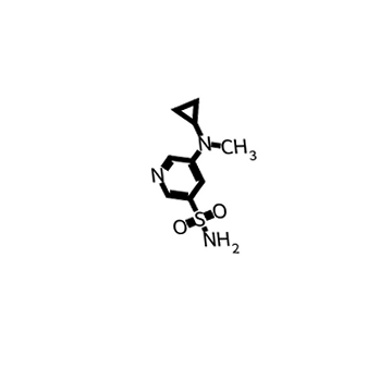 CN(c1cncc(S(N)(=O)=O)c1)C1CC1